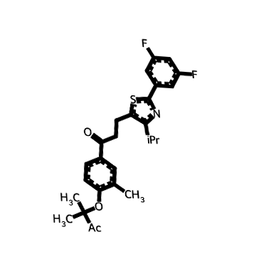 CC(=O)C(C)(C)Oc1ccc(C(=O)CCc2sc(-c3cc(F)cc(F)c3)nc2C(C)C)cc1C